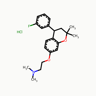 CN(C)CCOc1ccc2c(c1)OC(C)(C)CC2c1cccc(F)c1.Cl